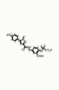 COc1cc(CNC(=O)c2cc(-c3ccc(C(C)C)cc3)n(C)n2)ccc1OC(C)(C)C(=O)O